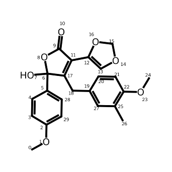 COc1ccc(C2(O)OC(=O)C(C3=COCO3)=C2Cc2ccc(OC)c(C)c2)cc1